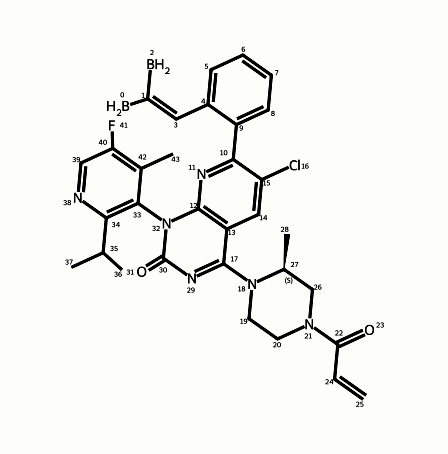 BC(B)=Cc1ccccc1-c1nc2c(cc1Cl)c(N1CCN(C(=O)C=C)C[C@@H]1C)nc(=O)n2-c1c(C(C)C)ncc(F)c1C